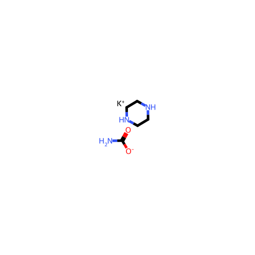 C1CNCCN1.NC(=O)[O-].[K+]